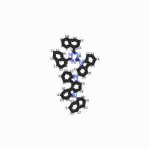 c1ccc2c(-c3nc(-c4cccc5ccccc45)nc(-n4c5ccccc5c5ccc(-n6c7ccccc7c7c8c9ccccc9n(-c9cccc%10ccccc9%10)c8ccc76)cc54)n3)cccc2c1